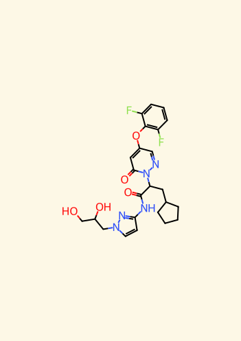 O=C(Nc1ccn(CC(O)CO)n1)C(CC1CCCC1)n1ncc(Oc2c(F)cccc2F)cc1=O